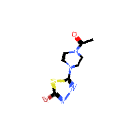 CC(=O)N1CCN(c2nnc(Br)s2)CC1